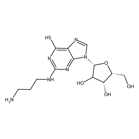 NCCCNc1nc(S)c2ncn([C@@H]3O[C@H](CO)[C@H](O)C3O)c2n1